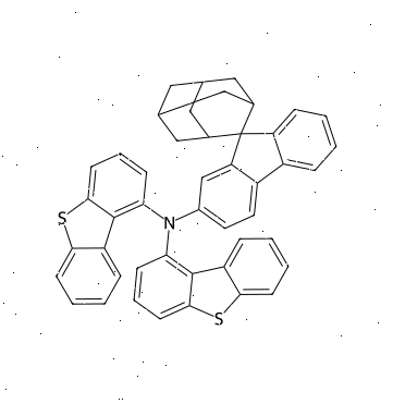 c1ccc2c(c1)-c1ccc(N(c3cccc4sc5ccccc5c34)c3cccc4sc5ccccc5c34)cc1C21C2CC3CC(C2)CC1C3